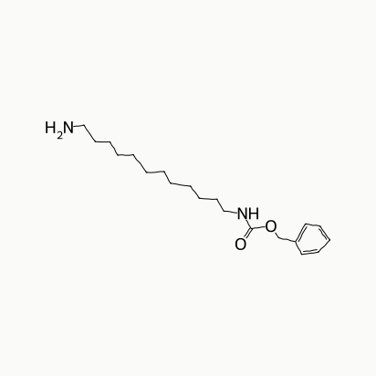 NCCCCCCCCCCCCNC(=O)OCc1ccccc1